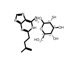 C=C(C)CCc1nc2ncnc-2c(N)[nH]1.O=C(O)[C@H]1OC(O)[C@H](S)[C@@H](O)[C@@H]1O